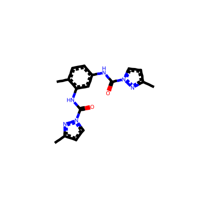 Cc1ccn(C(=O)Nc2ccc(C)c(NC(=O)n3ccc(C)n3)c2)n1